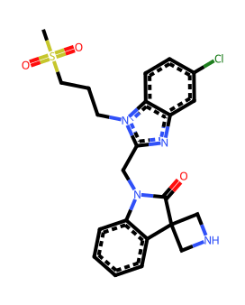 CS(=O)(=O)CCCn1c(CN2C(=O)C3(CNC3)c3ccccc32)nc2cc(Cl)ccc21